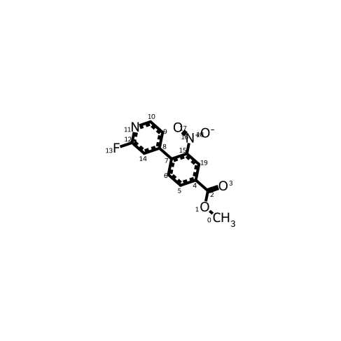 COC(=O)c1ccc(-c2ccnc(F)c2)c([N+](=O)[O-])c1